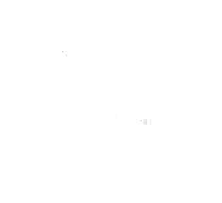 COc1c2ccncc2c(OC)c2c(C(=O)NCCO)csc12